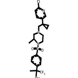 CC1CN(CC2(c3ccc(Cl)nc3)CC2)CCN1S(=O)(=O)c1ccc(C(C)(O)C(F)(F)F)cc1